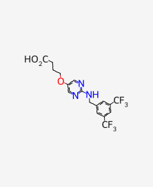 O=C(O)CCCOc1cnc(NCc2cc(C(F)(F)F)cc(C(F)(F)F)c2)nc1